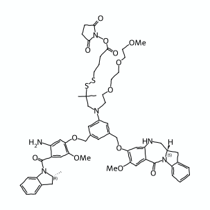 COCCOCCOCCN(CC(C)(C)SSCCCC(=O)ON1C(=O)CCC1=O)c1cc(COc2cc(N)c(C(=O)N3c4ccccc4C[C@H]3C)cc2OC)cc(COc2cc3c(cc2OC)C(=O)N2c4ccccc4C[C@H]2CN3)c1